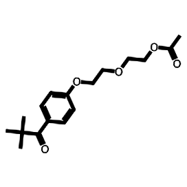 CC(=O)OCCOCCOc1ccc(C(=O)C(C)(C)C)cc1